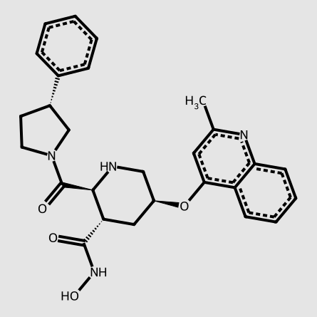 Cc1cc(O[C@@H]2CN[C@H](C(=O)N3CC[C@H](c4ccccc4)C3)[C@@H](C(=O)NO)C2)c2ccccc2n1